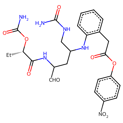 CC[C@H](OC(N)=O)C(=O)NC(C=O)CC(CNC(N)=O)Nc1ccccc1CC(=O)Oc1ccc([N+](=O)[O-])cc1